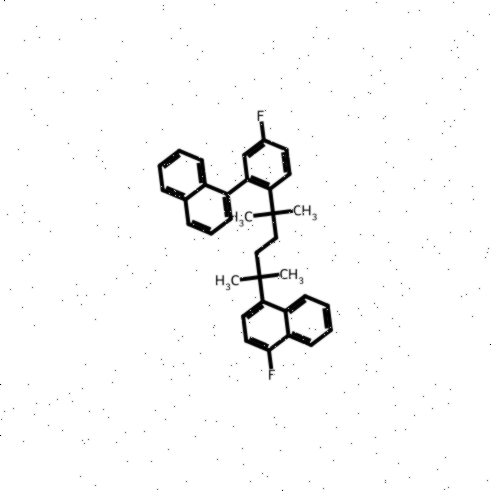 CC(C)(CCC(C)(C)c1ccc(F)c2ccccc12)c1ccc(F)cc1-c1cccc2ccccc12